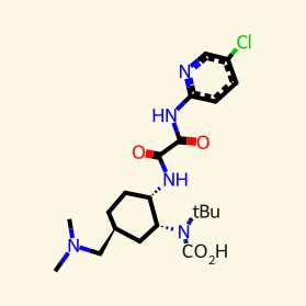 CN(C)C[C@H]1CC[C@H](NC(=O)C(=O)Nc2ccc(Cl)cn2)[C@H](N(C(=O)O)C(C)(C)C)C1